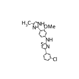 COc1cc(Nc2nc(-c3cccc(Cl)c3)cs2)ccc1-c1nc(C)c[nH]1